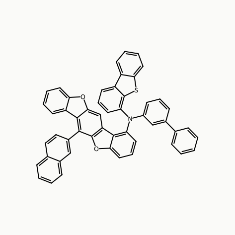 c1ccc(-c2cccc(N(c3cccc4c3sc3ccccc34)c3cccc4oc5c(-c6ccc7ccccc7c6)c6c(cc5c34)oc3ccccc36)c2)cc1